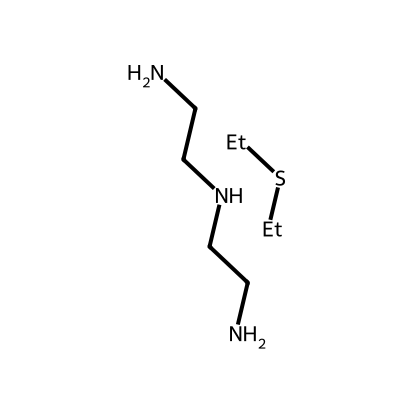 CCSCC.NCCNCCN